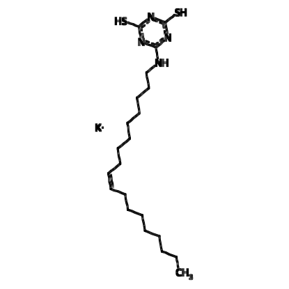 CCCCCCCC/C=C\CCCCCCCCNc1nc(S)nc(S)n1.[K]